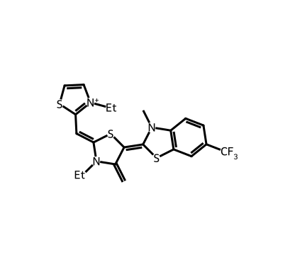 C=C1/C(=C2\Sc3cc(C(F)(F)F)ccc3N2C)S/C(=C\c2scc[n+]2CC)N1CC